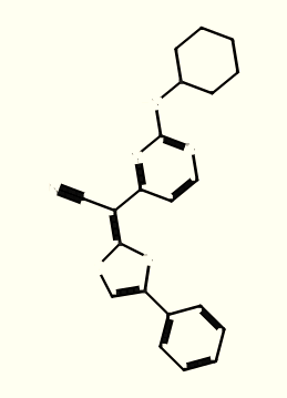 N#CC(=C1NC(c2ccccc2)=CS1)c1ccnc(NC2CCCCC2)n1